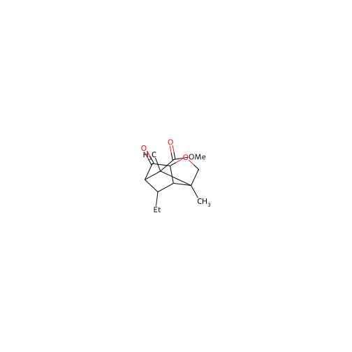 CCC1C2C3OCC2(C)C(C)(C(=O)OC)C1C3=O